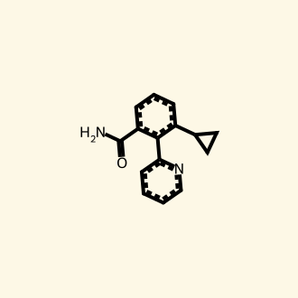 NC(=O)c1cccc(C2CC2)c1-c1ccccn1